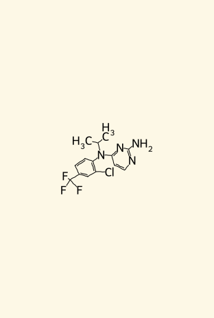 CC(C)N(c1ccnc(N)n1)c1ccc(C(F)(F)F)cc1Cl